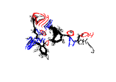 C[C@H](CO)NC(=O)c1ccc(COc2nn3c(C4=[N+]([O-])C(CO)=C4)nnc3c3ccccc23)c(C#N)c1